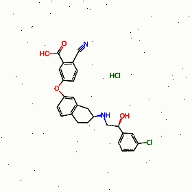 Cl.N#Cc1ccc(Oc2ccc3c(c2)C[C@@H](NC[C@@H](O)c2cccc(Cl)c2)CC3)cc1C(=O)O